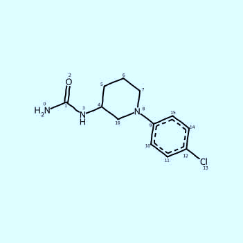 NC(=O)NC1CCCN(c2ccc(Cl)cc2)C1